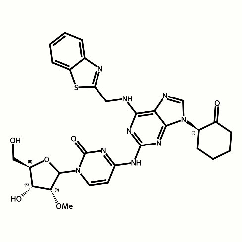 CO[C@H]1C(n2ccc(Nc3nc(NCc4nc5ccccc5s4)c4ncn([C@@H]5CCCCC5=O)c4n3)nc2=O)O[C@H](CO)[C@H]1O